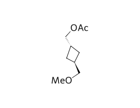 COC[C@H]1C[C@H](COC(C)=O)C1